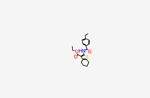 CCOC(=O)c1c(NC(=O)c2ccc(CC)cc2)sc2c1CCCC2